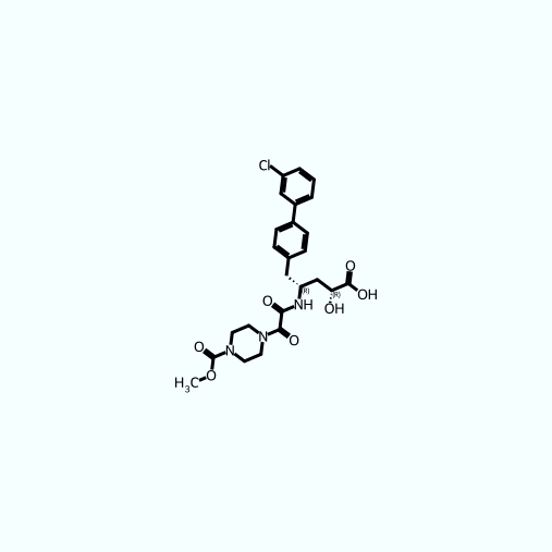 COC(=O)N1CCN(C(=O)C(=O)N[C@H](Cc2ccc(-c3cccc(Cl)c3)cc2)C[C@@H](O)C(=O)O)CC1